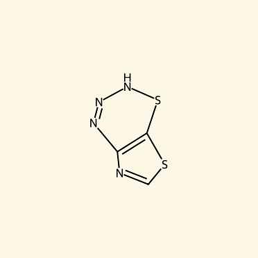 c1nc2c(s1)SNN=N2